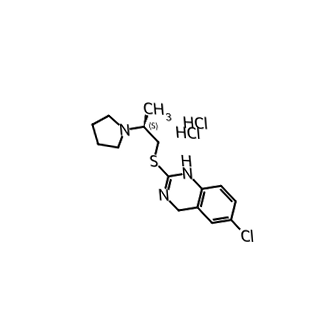 C[C@@H](CSC1=NCc2cc(Cl)ccc2N1)N1CCCC1.Cl.Cl